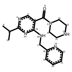 CC(C)c1ncc(C(=O)N2CCNCC2)c(NCc2ccccn2)n1